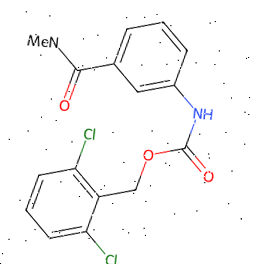 CNC(=O)c1cccc(NC(=O)OCc2c(Cl)cccc2Cl)c1